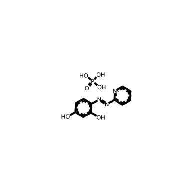 O=P(O)(O)O.Oc1ccc(N=Nc2ccccn2)c(O)c1